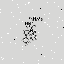 CNC(=O)CNc1nc2ccc(-c3ccc(F)cc3)nc2n(Cc2cccnc2)c1=O